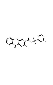 CCc1cc(C(C)(C)NC(=O)c2cc3[nH]c4ccccc4c(=O)c3cc2F)ccn1